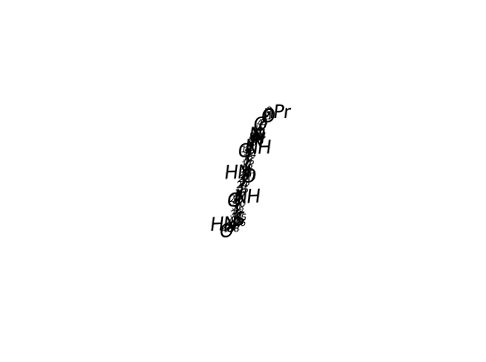 CCCOCCOCCn1cc(CNC(=O)CCCCCNC(=O)CCCCCNC(=O)CCCC[C@@H]2SCC3CC(=O)NC32)nn1